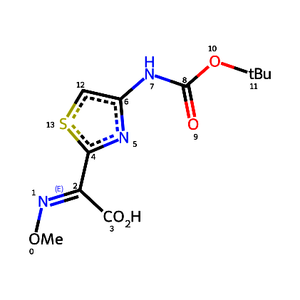 CO/N=C(\C(=O)O)c1nc(NC(=O)OC(C)(C)C)cs1